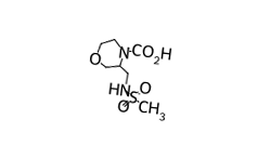 CS(=O)(=O)NCC1COCCN1C(=O)O